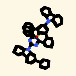 c1ccc(-c2ccc3c4ccccc4n(-c4nc(-c5ccccc5)nc(-c5ccccc5-c5cc(-n6c7ccccc7c7ccccc76)cc6c5sc5ccccc56)n4)c3c2)cc1